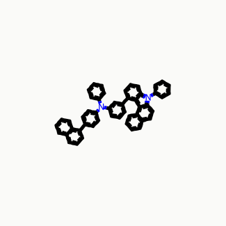 c1ccc(N(c2ccc(-c3cccc4ccccc34)cc2)c2cccc(-c3cccc4c3c3c5ccccc5ccc3n4-c3ccccc3)c2)cc1